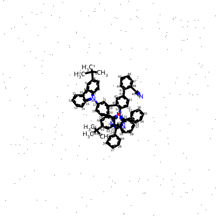 CC(C)(C)c1ccc2c(c1)c1ccccc1n2-c1ccc(-c2nc(-c3ccccc3)nc(-c3ccccc3)n2)c(-c2cc(-c3ccccc3C#N)ccc2-n2c3ccccc3c3cc(C(C)(C)C)ccc32)c1